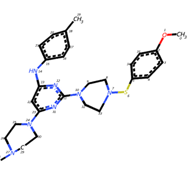 COc1ccc(SN2CCN(c3nc(Nc4ccc(C)cc4)cc(N4CCN(C)CC4)n3)CC2)cc1